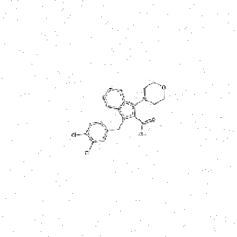 O=C(O)c1c(N2CCOCC2)c2ccccc2n1Cc1ccc(Cl)c(Cl)c1